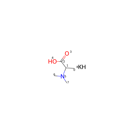 CC(C(=O)O)N(C)C.[KH]